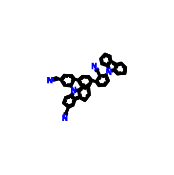 N#Cc1ccc(-c2ccc(-c3cccc(-n4c5ccccc5c5ccccc54)c3C#N)cc2)c(-n2c3ccccc3c3cc(C#N)ccc32)c1